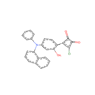 O=c1c(Cl)c(-c2ccc(N(c3ccccc3)c3cccc4ccccc34)cc2O)c1=O